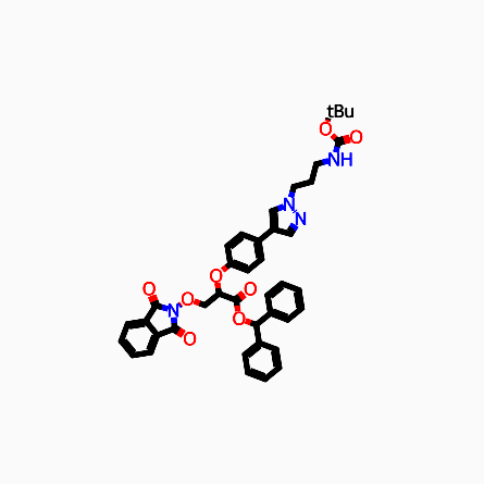 CC(C)(C)OC(=O)NCCCn1cc(-c2ccc(OC(CON3C(=O)c4ccccc4C3=O)C(=O)OC(c3ccccc3)c3ccccc3)cc2)cn1